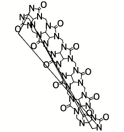 O=C1N2CN3C(=O)N4CN5C(=O)N6CN7C(=O)N8CN9C(=O)N%10CN%11C(=O)N%12CN1C1C2N2CN%13C(=O)N(CN%14C(=O)N(CN%15C(=O)N(CN%16C(=O)N(CN%17C(=O)N(CN1C2=O)C%12C%11%17)C%10C9%16)C8C7%15)C6C5%14)C4C3%13